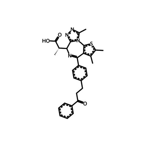 Cc1sc2c(c1C)C(c1ccc(CCC(=O)c3ccccc3)cc1)=NC([C@H](C)C(=O)O)c1nnc(C)n1-2